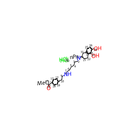 CCCN(CCCCCCNCCc1ccc(C(=O)OC)cc1)C1CCc2c(ccc(O)c2O)C1.Cl.Cl